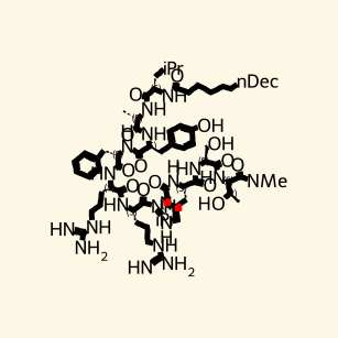 CCCCCCCCCCCCCCCC(=O)N[C@@H](CC(C)C)C(=O)N[C@@H](C)C(=O)N[C@@H](Cc1ccc(O)cc1)C(=O)N[C@@H](Cc1ccccc1)C(=O)N[C@@H](CCCNC(=N)N)C(=O)N[C@@H](CCCNC(=N)N)C(=O)N[C@@H](CC(C)C)C(=O)N[C@@H](Cc1c[nH]cn1)C(=O)N[C@@H](CO)C(=O)N[C@H](C(=O)NC)[C@@H](C)O